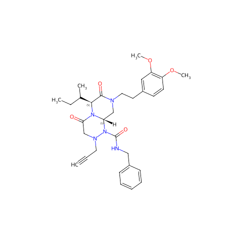 C#CCN1CC(=O)N2[C@@H](C(C)CC)C(=O)N(CCc3ccc(OC)c(OC)c3)C[C@@H]2N1C(=O)NCc1ccccc1